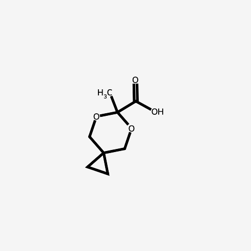 CC1(C(=O)O)OCC2(CC2)CO1